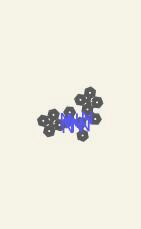 c1ccc(-c2nc(-n3c4ccccc4c4cc([Si](c5ccccc5)(c5ccccc5)c5ccccc5)ccc43)cc(-n3c4ccccc4n4c5cc([Si](c6ccccc6)(c6ccccc6)c6ccccc6)ccc5nc34)n2)cc1